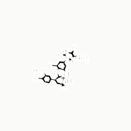 Cc1cc(-c2cc(=O)[nH]nc2Oc2c(Cl)cc(-n3nc(N)c(=O)[nH]c3=O)cc2Cl)ccc1Cl